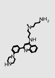 CN(CCCN)CCCNc1cc(-c2cccc(N3CCNCC3)c2)nc2ccccc12